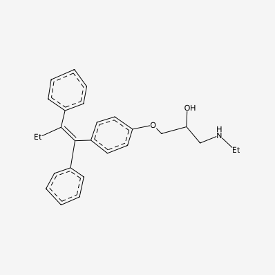 CCNCC(O)COc1ccc(C(=C(CC)c2ccccc2)c2ccccc2)cc1